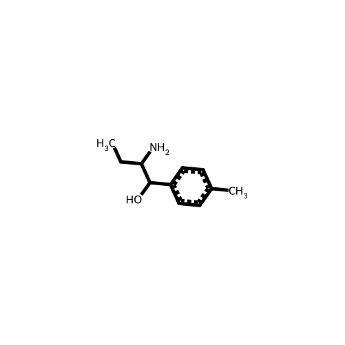 CCC(N)C(O)c1ccc(C)cc1